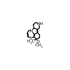 COC1(C)CCC2=C3CNCCC3N3CC=CSC1=C23